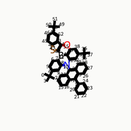 CC(C)(C)c1ccc2c(c1)N(c1c3ccccc3c(-c3ccccc3)c3ccccc13)c1cc(C(C)(C)C)cc3c1B2c1sc2ccc(C(C)(C)C)cc2c1O3